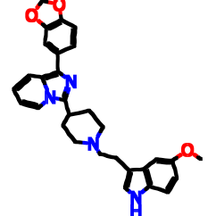 COc1ccc2[nH]cc(CCN3CCC(c4nc(-c5ccc6c(c5)OCO6)c5ccccn45)CC3)c2c1